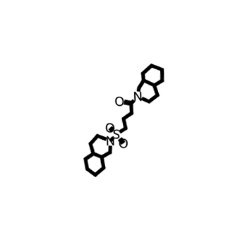 O=C(CCCS(=O)(=O)N1CCC2CCCCC2C1)N1CCC2CCCCC2C1